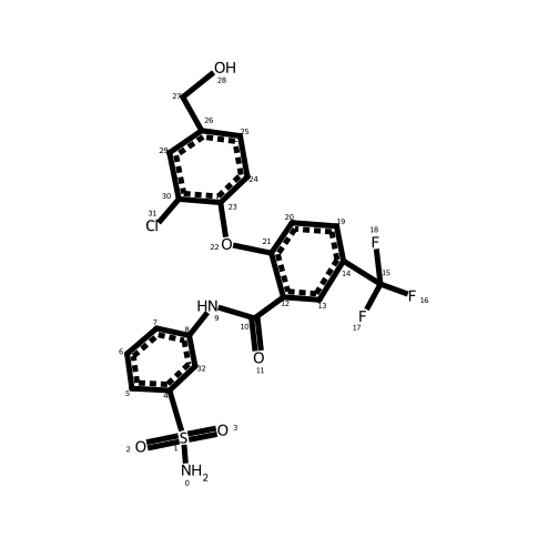 NS(=O)(=O)c1cccc(NC(=O)c2cc(C(F)(F)F)ccc2Oc2ccc(CO)cc2Cl)c1